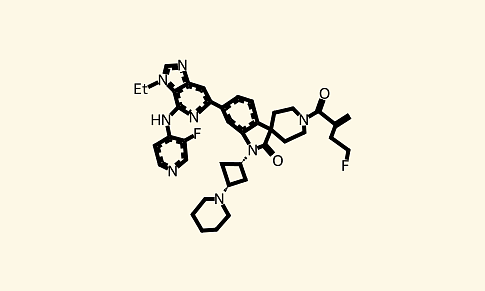 C=C(CCF)C(=O)N1CCC2(CC1)C(=O)N([C@H]1C[C@@H](N3CCCCC3)C1)c1cc(-c3cc4ncn(CC)c4c(Nc4ccncc4F)n3)ccc12